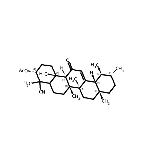 CC(=O)O[C@@H]1CC[C@@]2(C)C(CC[C@]3(C)[C@@H]2C(=O)C=C2[C@@H]4[C@@H](C)[C@H](C)CC[C@]4(C)CC[C@]23C)C1(C)C#N